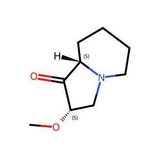 CO[C@H]1CN2CCCC[C@H]2C1=O